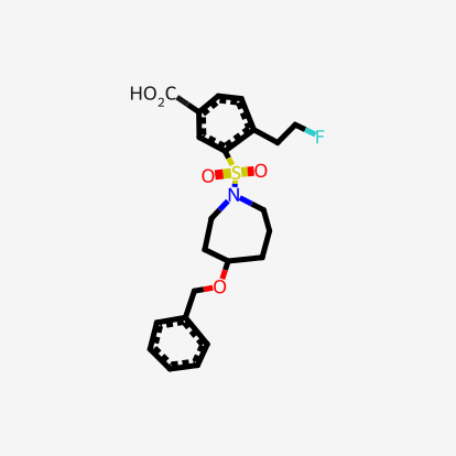 O=C(O)c1ccc(CCF)c(S(=O)(=O)N2CCCC(OCc3ccccc3)CC2)c1